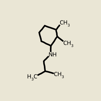 CC(C)CNC1CCCC(C)C1C